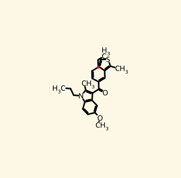 CCC/C=C\C(=C/c1ccsc1C)C(=O)c1c(C)n(CCC)c2ccc(OC)cc12